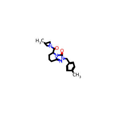 Cc1ccc(Cn2nc3n(c2=O)C(C(=O)N2CC(C)C2)CCC3)cc1